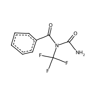 NC(=O)N(C(=O)c1ccccc1)C(F)(F)F